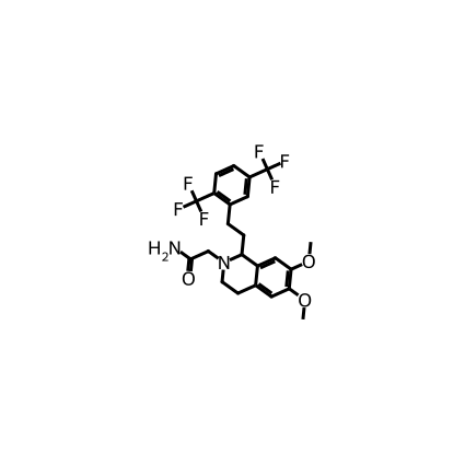 COc1cc2c(cc1OC)C(CCc1cc(C(F)(F)F)ccc1C(F)(F)F)N(CC(N)=O)CC2